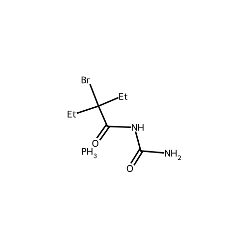 CCC(Br)(CC)C(=O)NC(N)=O.P